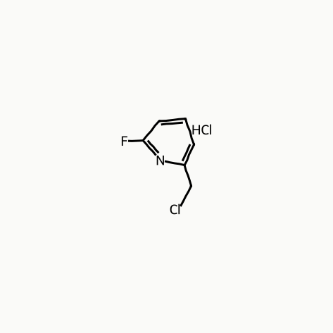 Cl.Fc1cccc(CCl)n1